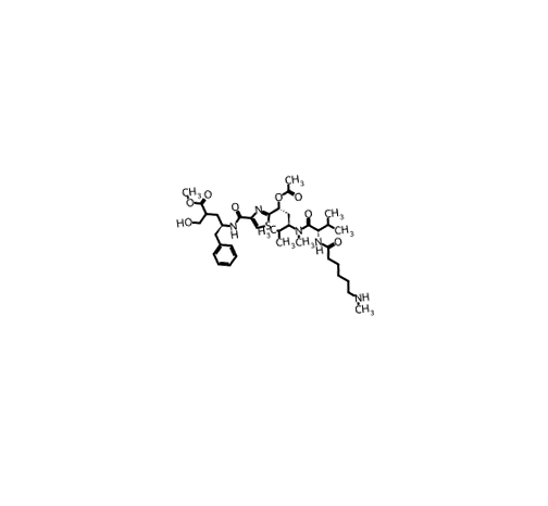 CNCCCCCC(=O)N[C@H](C(=O)N(C)[C@H](C[C@@H](OC(C)=O)c1nc(C(=O)N[C@@H](Cc2ccccc2)CC(CO)C(=O)OC)cs1)C(C)C)C(C)C